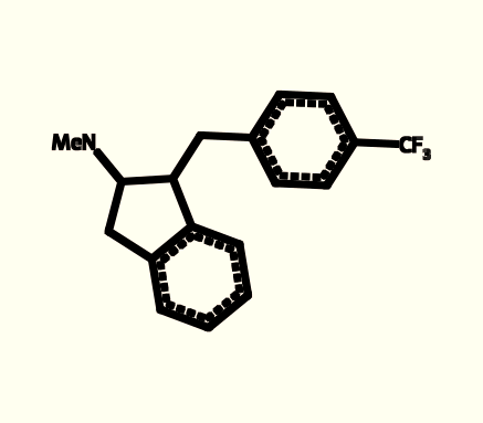 CNC1Cc2ccccc2C1Cc1ccc(C(F)(F)F)cc1